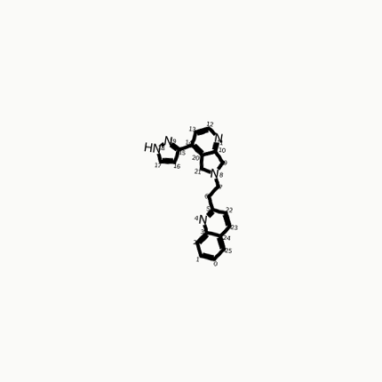 c1ccc2nc(CCN3Cc4nccc(-c5cc[nH]n5)c4C3)ccc2c1